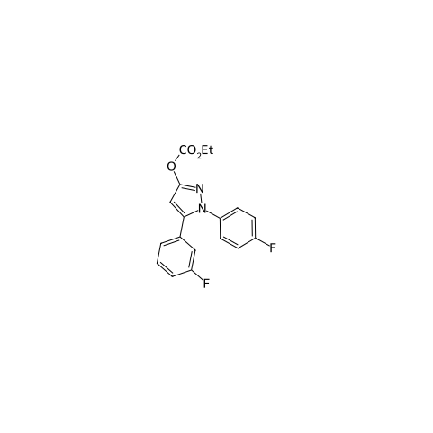 CCOC(=O)Oc1cc(-c2cccc(F)c2)n(-c2ccc(F)cc2)n1